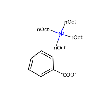 CCCCCCCC[N+](CCCCCCCC)(CCCCCCCC)CCCCCCCC.O=C([O-])c1ccccc1